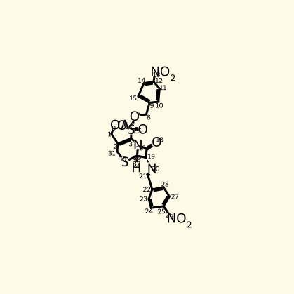 CC(=O)OCC1=C(S(=O)(=O)OCc2ccc([N+](=O)[O-])cc2)N2C(=O)[C@H](N=Cc3ccc([N+](=O)[O-])cc3)[C@@H]2SC1